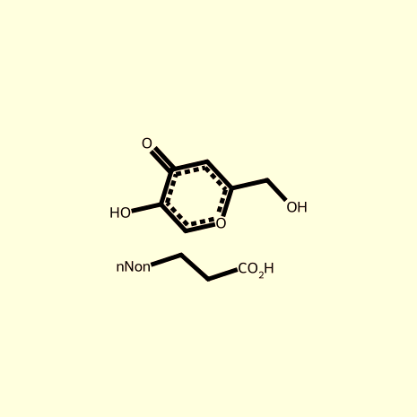 CCCCCCCCCCCC(=O)O.O=c1cc(CO)occ1O